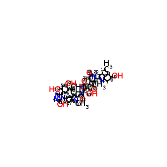 CCc1c2c(nc3ccc(O)cc13)-c1cc3c(c(=O)n1C2)COC(=O)C3(CC)C(CCNC(=O)c1cc2cc(-n3c(O)nnc3-c3cc(C(C)C)c(O)cc3O)ccc2n1C)C(=O)O